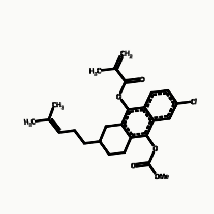 C=C(C)C(=O)Oc1c2c(c(OC(=O)OC)c3cc(Cl)ccc13)CCC(CCC=C(C)C)C2